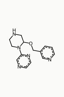 c1cncc(COC2CNCCN2c2cnccn2)c1